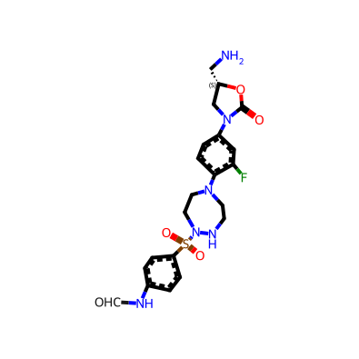 NC[C@H]1CN(c2ccc(N3CCNN(S(=O)(=O)c4ccc(NC=O)cc4)CC3)c(F)c2)C(=O)O1